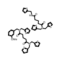 COc1cccc(CN(Cc2cccs2)C(=O)CCCC(=O)N(Cc2cccs2)Cc2cccs2)c1.O=C(CCCC(=O)N(Cc1cccs1)Cc1cccs1)NCc1cccs1